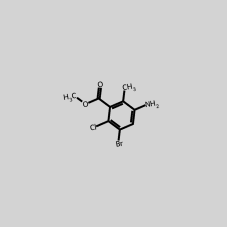 COC(=O)c1c(C)c(N)cc(Br)c1Cl